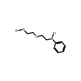 CCOCCOCCN(CC)c1ccccc1